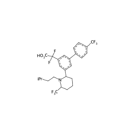 CC(C)CCN1C(c2cc(-c3ccc(C(F)(F)F)cc3)cc(C(F)(F)C(=O)O)c2)CCCC1C(F)(F)F